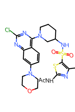 CC(=O)Nc1nc(C)c(S(=O)(=O)NC2CCCN(c3nc(Cl)nc4cc(N5CCOCC5)ccc34)C2)s1